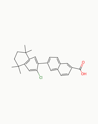 CC1(C)CCC(C)(C)c2cc(-c3ccc4cc(C(=O)O)ccc4c3)c(Cl)cc21